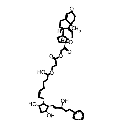 C[C@]12CCC(=O)C=C1CC[C@@H]1C2=CC[C@]23O[C@]2(C(=O)COC(=O)CCOC(O)CCC/C=C\C[C@@H]2[C@@H](/C=C/[C@@H](O)CCc4ccccc4)[C@H](O)C[C@@H]2O)CC[C@@H]13